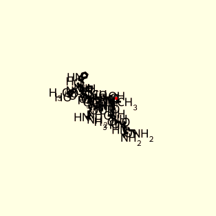 CC(C)C[C@H](NC(=O)CNC(=O)[C@H](C)NC(=O)CNC(=O)[C@H](CCCCN)NC(=O)CN)C(=O)N[C@@H](CO)C(=O)N[C@@H](CC(C)C)C(=O)N[C@@H](CO)C(=O)N[C@@H](CCCNC(=N)N)C(=O)N[C@@H](Cc1ccccc1)C(=O)N[C@@H](CO)C(=O)N[C@@H](Cc1c[nH]c2ccccc12)C(=O)NCC(=O)N[C@@H](C)C(=O)O